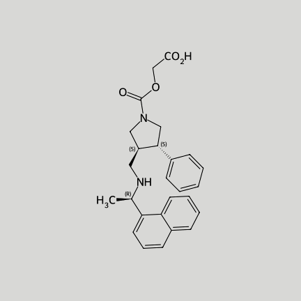 C[C@@H](NC[C@H]1CN(C(=O)OCC(=O)O)C[C@@H]1c1ccccc1)c1cccc2ccccc12